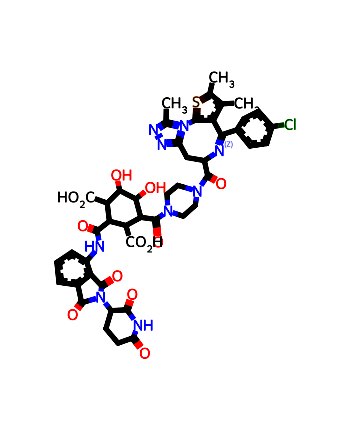 Cc1sc2c(c1C)/C(c1ccc(Cl)cc1)=N\C(C(=O)N1CCN(C(=O)C3C(O)C(O)C(C(=O)O)C(C(=O)Nc4cccc5c4C(=O)N(C4CCC(=O)NC4=O)C5=O)C3C(=O)O)CC1)Cc1nnc(C)n1-2